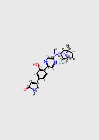 CN1CC(c2ccc(-c3cnc(N(C)[C@H]4C[C@@H]5CC[C@@H](N5)[C@H]4F)cn3)c(O)c2)=CC1=O